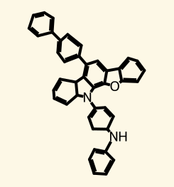 C1=CC2c3c(-c4ccc(-c5ccccc5)cc4)cc4c(oc5ccccc54)c3N(C3=CCC(Nc4ccccc4)C=C3)C2C=C1